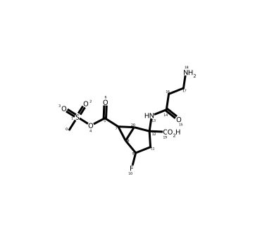 CS(=O)(=O)OC(=O)C1C2C(F)CC(NC(=O)CCN)(C(=O)O)C12